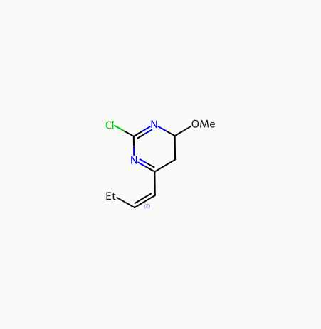 CC/C=C\C1=NC(Cl)=NC(OC)C1